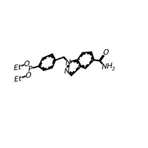 CCOP(OCC)c1ccc(Cn2ncc3cc(C(N)=O)ccc32)cc1